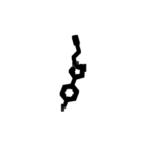 C#CCCn1cc(-c2ccc(F)cc2)cn1